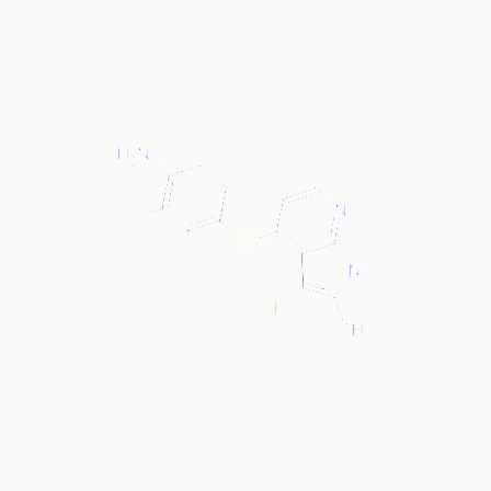 Cc1[nH]c2nccc(Oc3ccc(N)c(F)c3)c2c1Cl